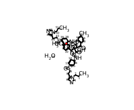 CCCn1cncc1CC[S+]([O-])c1ccc(NOC(=O)C(O)(C(=O)c2ccc(C)cc2)C(O)(C(=O)ONc2ccc([S+]([O-])CCc3cncn3CCC)cc2)C(=O)c2ccc(C)cc2)cc1.O